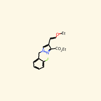 CCOC=Cc1cn(Cc2ccccc2F)nc1C(=O)OCC